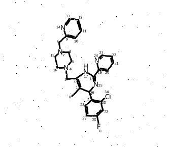 CC1=C(CN2CCN(Cc3ccccn3)CC2)NC(c2ccccn2)=NC1c1ccc(F)cc1Cl